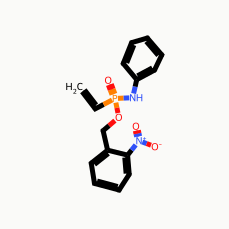 C=CP(=O)(Nc1ccccc1)OCc1ccccc1[N+](=O)[O-]